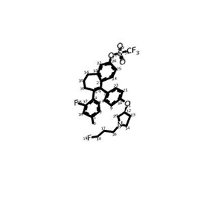 Cc1ccc(C2=C(c3ccc(O[C@H]4CCN(CCCF)C4)cc3)c3ccc(OS(=O)(=O)C(F)(F)F)cc3CCC2)c(F)c1